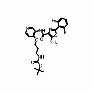 CC(C)(C)OC(=O)NCCCOc1ccncc1NC(=O)c1nc(-c2c(F)cccc2F)sc1N